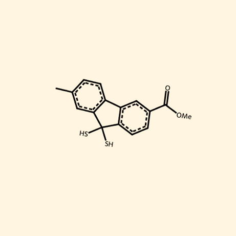 COC(=O)c1ccc2c(c1)-c1ccc(C)cc1C2(S)S